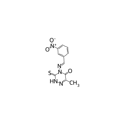 Cc1n[nH]c(=S)n(N=Cc2cccc([N+](=O)[O-])c2)c1=O